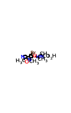 Cc1nccc2c1c(=O)n(C)c1cc(OCC(C)CC(C)NC(=O)O)c(Br)cc21